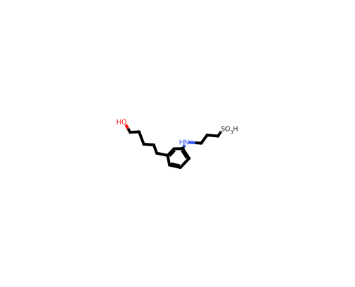 O=S(=O)(O)CCCNc1cccc(CCCCCO)c1